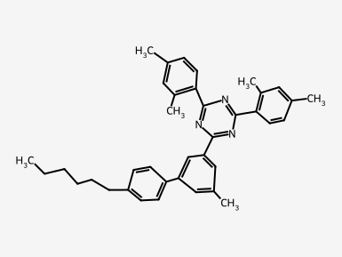 CCCCCCc1ccc(-c2cc(C)cc(-c3nc(-c4ccc(C)cc4C)nc(-c4ccc(C)cc4C)n3)c2)cc1